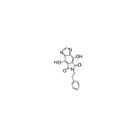 O=C1c2c(c(O)c3nccnc3c2O)C(=O)N1CCc1ccccc1